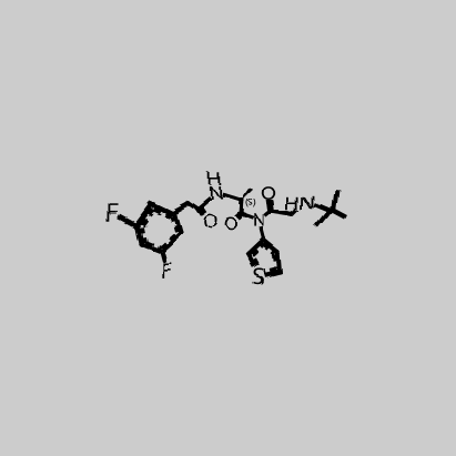 C[C@H](NC(=O)Cc1cc(F)cc(F)c1)C(=O)N(C(=O)CNC(C)(C)C)c1ccsc1